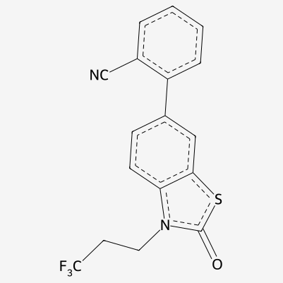 N#Cc1ccccc1-c1ccc2c(c1)sc(=O)n2CCC(F)(F)F